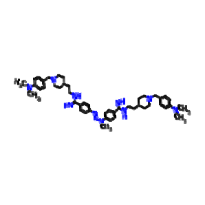 CN(C)c1ccc(CN2CCC(CCNC(=N)c3ccc(/N=N/N(C)c4ccc(C(=N)NCCC5CCN(Cc6ccc(N(C)C)cc6)CC5)cc4)cc3)CC2)cc1